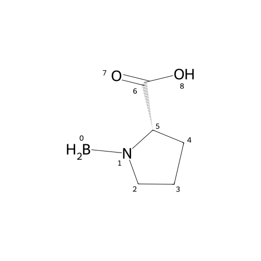 BN1CCC[C@H]1C(=O)O